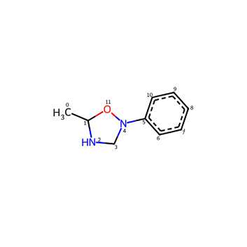 CC1NCN(c2c[c]ccc2)O1